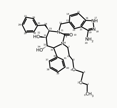 CCOCOCCCN1C(=O)N(Cc2ccc3[nH]nc(N)c3c2)[C@H](Cc2ccccc2)[C@H](O)[C@@H](O)C1c1ccccc1